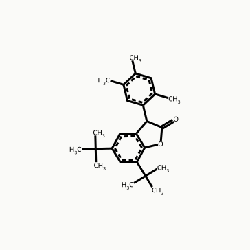 Cc1cc(C)c(C2C(=O)Oc3c2cc(C(C)(C)C)cc3C(C)(C)C)cc1C